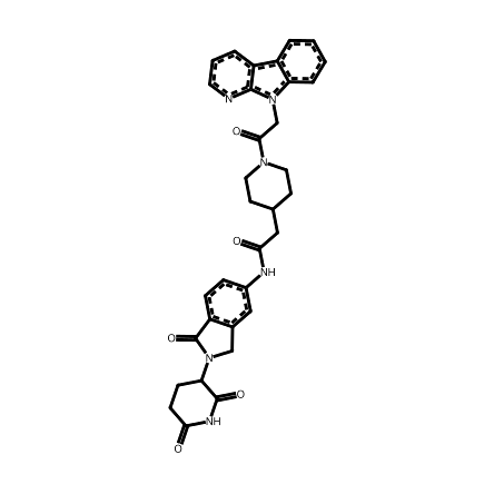 O=C1CCC(N2Cc3cc(NC(=O)CC4CCN(C(=O)Cn5c6ccccc6c6cccnc65)CC4)ccc3C2=O)C(=O)N1